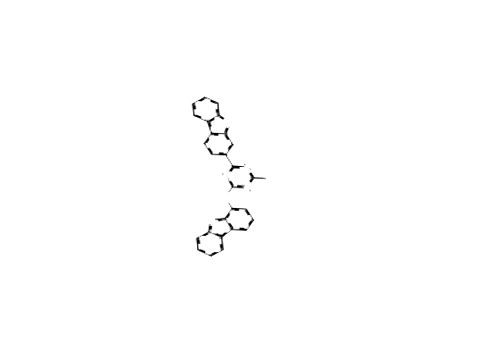 Cc1nc(Oc2cccc3c2sc2ccccc23)nc(-c2ccc3c(c2)oc2ccccc23)n1